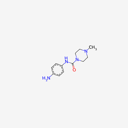 CN1CCN(C(=O)Nc2ccc(N)cc2)CC1